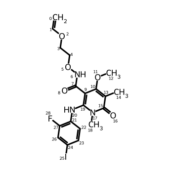 C=COCCONC(=O)c1c(OC)c(C)c(=O)n(C)c1Nc1ccc(I)cc1F